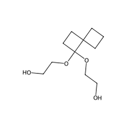 OCCOC1(OCCO)CCC12CCC2